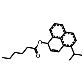 CCCCCC(=O)OC1C=Cc2c(C(C)C)ccc3cccc1c23